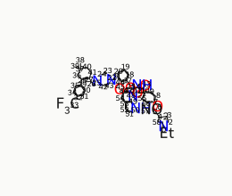 CCN1CCC(COc2ccc(S(=O)(=O)NC(=O)c3cccc(N4CCN(CC5=C(c6ccc(C(F)(F)F)cc6)CC(C)(C)CC5)CC4)c3Oc3cnc4[nH]ccc4c3)cc2[N+](=O)[O-])C1